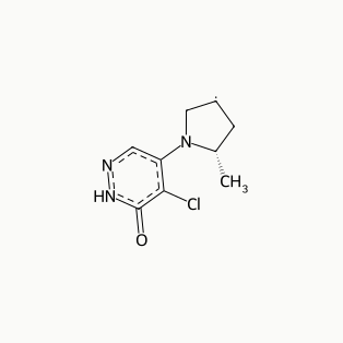 C[C@H]1C[CH]CN1c1cn[nH]c(=O)c1Cl